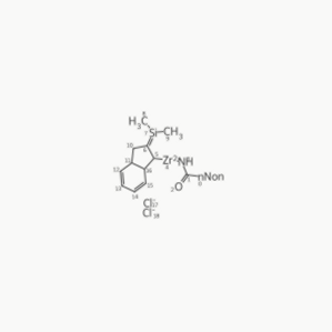 CCCCCCCCCC(=O)[NH][Zr+2][CH]1C(=[Si](C)C)CC2C=CC=CC21.[Cl-].[Cl-]